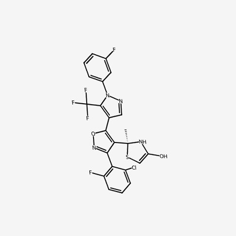 C[C@]1(c2c(-c3c(F)cccc3Cl)noc2-c2cnn(-c3cccc(F)c3)c2C(F)(F)F)NC(O)=CS1